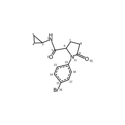 O=C(NC1CC1)C1CCC(=O)N1c1ccc(Br)cc1